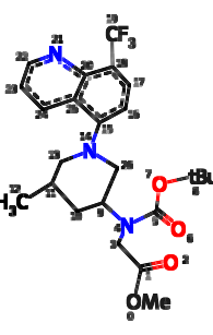 COC(=O)CN(C(=O)OC(C)(C)C)C1CC(C)CN(c2ccc(C(F)(F)F)c3ncccc23)C1